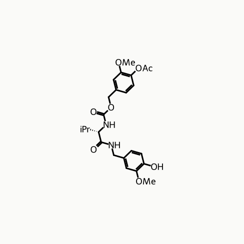 COc1cc(CNC(=O)[C@@H](NC(=O)OCc2ccc(OC(C)=O)c(OC)c2)C(C)C)ccc1O